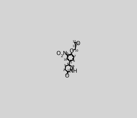 O=C1CCC(c2ccc(OCC3CO3)c([N+](=O)[O-])c2)=NN1